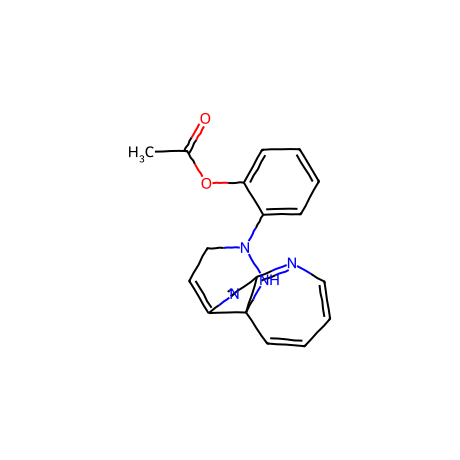 CC(=O)Oc1ccccc1N1CC=C2N=CC3=NC=CC=CC23N1